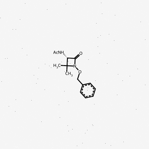 CC(=O)N[C@@H]1C(=O)N(OCc2ccccc2)C1(C)C